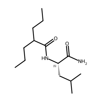 CCCC(CCC)C(=O)N[C@@H](CC(C)C)C(N)=O